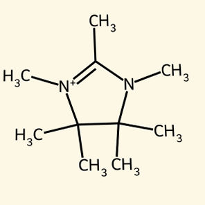 CC1=[N+](C)C(C)(C)C(C)(C)N1C